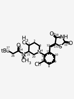 CC1CCN(c2c(Cl)cccc2/C=C2\SC(=O)NC2=O)CC1N(C)C(=O)CC(C)(C)C